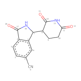 N#Cc1ccc2c(c1)C(C1CCC(=O)NC1=O)NC2=O